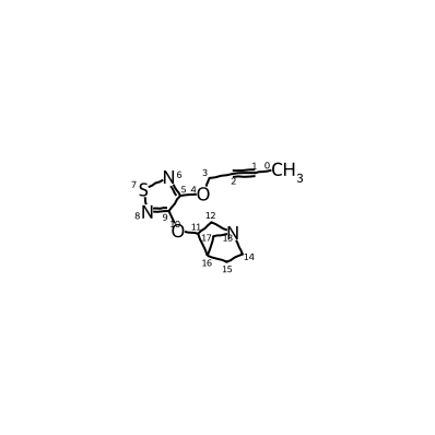 CC#CCOc1nsnc1OC1CN2CCC1C2